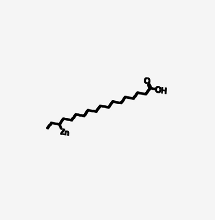 CC[CH]([Zn])CCCCCCCCCCCCCCC(=O)O